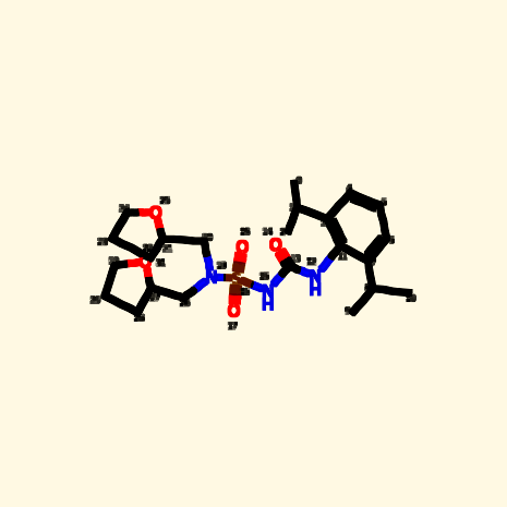 CC(C)c1cccc(C(C)C)c1NC(=O)NS(=O)(=O)N(CC1CCCO1)CC1CCCO1